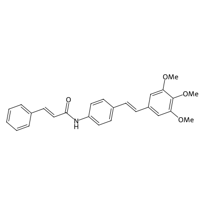 COc1cc(C=Cc2ccc(NC(=O)C=Cc3ccccc3)cc2)cc(OC)c1OC